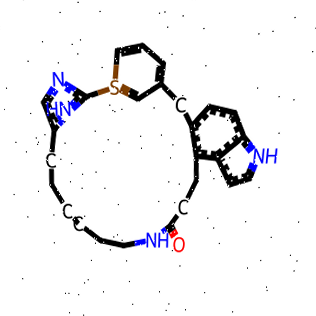 O=C1CCc2c(ccc3[nH]ccc23)CC2=CC=CS(=C2)c2ncc([nH]2)CCCCCCN1